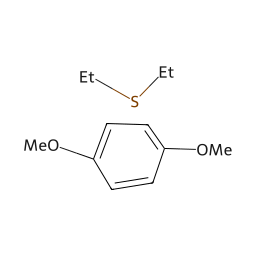 CCSCC.COc1ccc(OC)cc1